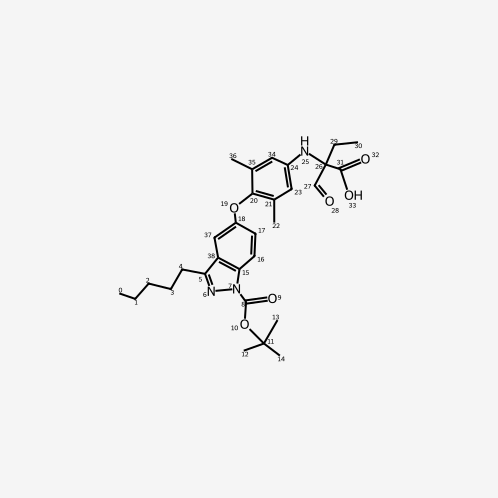 CCCCCc1nn(C(=O)OC(C)(C)C)c2ccc(Oc3c(C)cc(NC(C=O)(CC)C(=O)O)cc3C)cc12